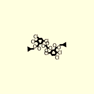 O=C(Oc1c(Cl)cc(Cl)c(Cl)c1C(=O)OCC1CC1)C(=O)Oc1c(Cl)cc(Cl)c(Cl)c1C(=O)OCC1CC1